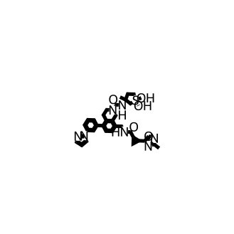 Cc1noc(C2CC2C(=O)NCc2ccc(-c3cccc(-n4cccn4)c3)c3c2CN(C(=O)NC2(C)CCS(O)(O)C2)CC3)n1